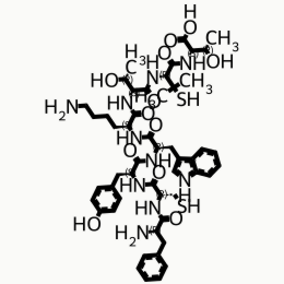 C[C@@H](O)[C@H](NC(=O)[C@@H](NC(=O)[C@@H](NC(=O)[C@H](CCCCN)NC(=O)[C@@H](Cc1c[nH]c2ccccc12)NC(=O)[C@H](Cc1ccc(O)cc1)NC(=O)[C@H](CS)NC(=O)[C@H](N)Cc1ccccc1)[C@@H](C)O)C(C)(C)S)C(=O)O